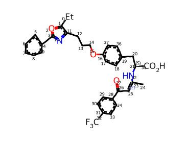 CCc1oc(-c2ccccc2)nc1CCCOc1ccc(C[C@H](N/C(C)=C\C(=O)c2ccc(C(F)(F)F)cc2)C(=O)O)cc1